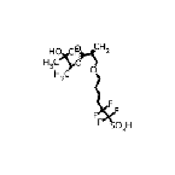 C=C(COCCCCC(F)(F)C(F)(F)S(=O)(=O)O)C(=O)OC(C)C(C)(O)C(F)(F)F